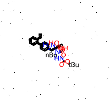 C=Cc1ccccc1-c1ccc(CC(N)(N(CCCC)C(=O)ONC(=O)OC(C)(C)C)C(C)(O)O)cc1